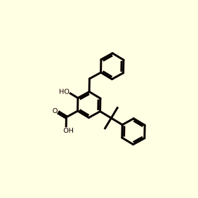 CC(C)(c1ccccc1)c1cc(Cc2ccccc2)c(O)c(C(=O)O)c1